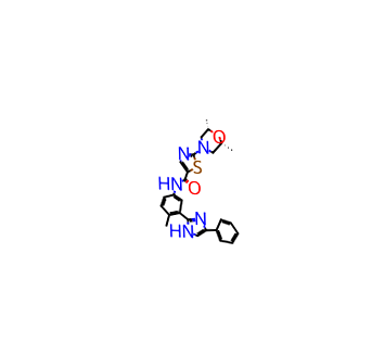 Cc1ccc(NC(=O)c2cnc(N3C[C@@H](C)O[C@@H](C)C3)s2)cc1-c1nc(-c2ccccc2)c[nH]1